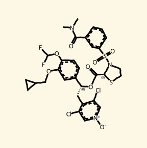 CN(C)C(=O)c1cccc(S(=O)(=O)N2CCS[C@H]2C(=O)O[C@H](Cc2c(Cl)c[n+]([O-])cc2Cl)c2ccc(OC(F)F)c(OCC3CC3)c2)c1